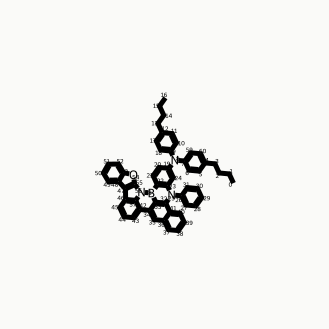 CCCCc1ccc(N(c2ccc(CCCC)cc2)c2ccc3c(c2)N(c2ccccc2)c2c4c(cc5ccccc25)-c2cccc5c6c7ccccc7oc6n(c25)B34)cc1